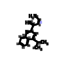 CC(C)c1nc(C(=N)/C=C\N)nc2ccccc12